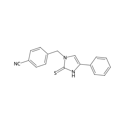 N#Cc1ccc(Cn2cc(-c3ccccc3)[nH]c2=S)cc1